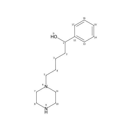 OC(CCCCN1CCNCC1)c1ccccc1